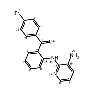 CC(C)c1ccc(C(=O)c2ccccc2Nc2ncccc2N)cc1